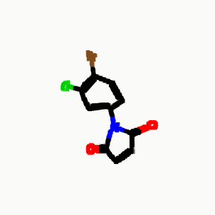 O=C1C=CC(=O)N1c1ccc(Br)c(Cl)c1